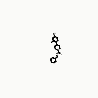 Cc1cc(Br)ccc1C1=CCN(C(=O)OCc2ccccc2)CC1